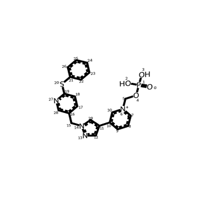 O=P(O)(O)OC[n+]1cccc(-c2cnn(Cc3ccc(Sc4ccccc4)nc3)c2)c1